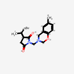 CCCCC(C)C1CC(=O)N(CN2COc3ccc(C)cc3C2)C1=O